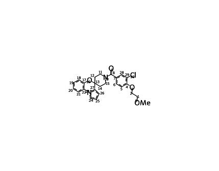 COCCOc1ccc(C(=O)N2CCC3(CC2)Oc2ccccc2-n2cccc23)cc1Cl